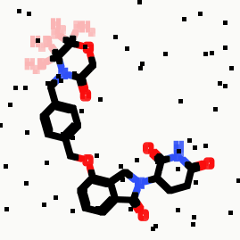 BC1(B)OCC(=O)N(Cc2ccc(COc3cccc4c3CN(C3CCC(=O)NC3=O)C4=O)cc2)C1(B)B